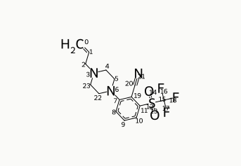 C=CCN1CCN(c2cccc(S(=O)(=O)C(F)(F)F)c2C#N)CC1